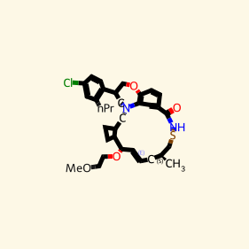 CCCc1cc(Cl)ccc1C1COc2ccc3cc2N(C1)CC1CCC1C(OCCOC)/C=C/C[C@H](C)CSNC3=O